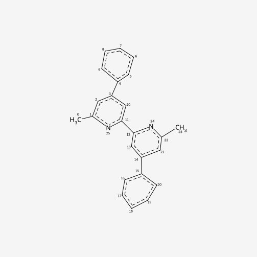 Cc1cc(-c2ccccc2)cc(-c2cc(-c3ccccc3)cc(C)n2)n1